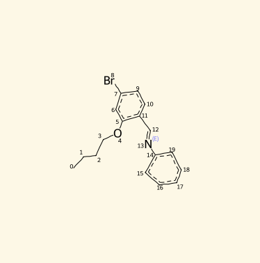 CCCCOc1cc(Br)ccc1/C=N/c1ccccc1